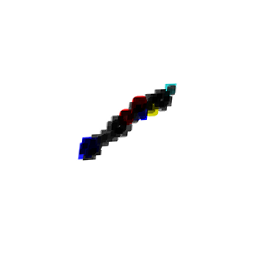 Fc1ccc2sc(-c3nc(COc4ccc(CCCCn5ccnn5)cc4)co3)cc2c1